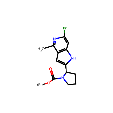 Cc1nc(Br)cc2[nH]c([C@H]3CCCN3C(=O)OC(C)(C)C)cc12